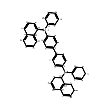 C1=CC(N(c2ccc(-c3ccc(N(c4ccccc4)c4cccc5ccccc45)cc3)cc2)C2CC=CC3=C2CCC=C3)=CCC1